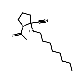 CCCCCCCCNC1(C#N)CCCN1C(C)=O